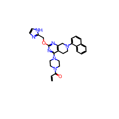 C=CC(=O)N1CCN(c2nc(OCc3ncc[nH]3)nc3c2CCN(c2cccc4ccccc24)C3)CC1